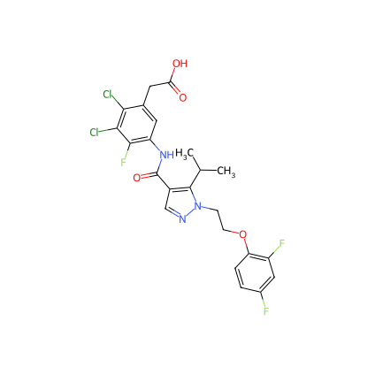 CC(C)c1c(C(=O)Nc2cc(CC(=O)O)c(Cl)c(Cl)c2F)cnn1CCOc1ccc(F)cc1F